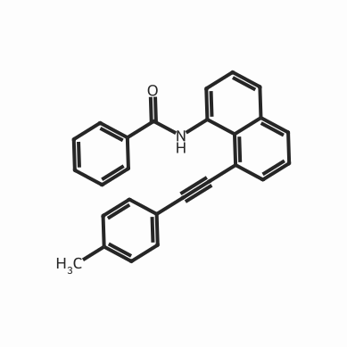 Cc1ccc(C#Cc2cccc3cccc(NC(=O)c4ccccc4)c23)cc1